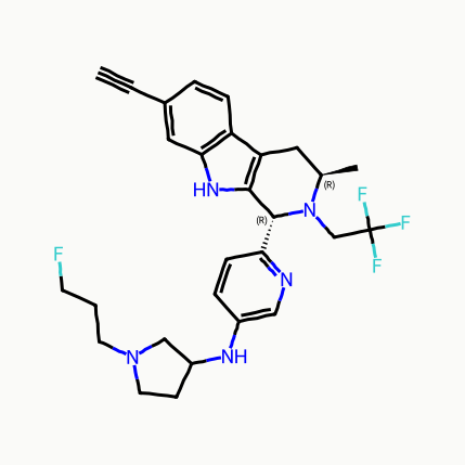 C#Cc1ccc2c3c([nH]c2c1)[C@@H](c1ccc(NC2CCN(CCCF)C2)cn1)N(CC(F)(F)F)[C@H](C)C3